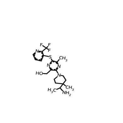 Cc1nc(N2CCC(C)(C(C)N)CC2)c(CO)nc1Sc1cccnc1C(F)(F)F